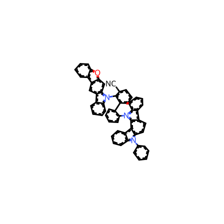 N#Cc1cccc(-c2ccccc2-n2c3ccccc3c3ccc4c(c5ccccc5n4-c4ccccc4)c32)c1-n1c2ccccc2c2cc3c(cc21)oc1ccccc13